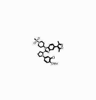 COc1ccc(N2CCC[C@H]2c2nc3cc(-c4c(C)noc4C)ccc3n2C2CCN(S(C)(=O)=O)CC2)cc1Cl